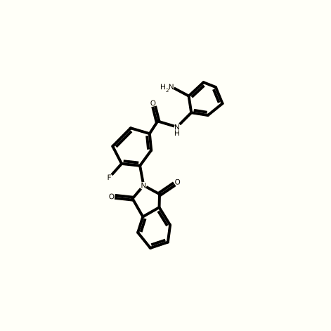 Nc1ccccc1NC(=O)c1ccc(F)c(N2C(=O)c3ccccc3C2=O)c1